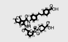 O=C(O)c1ccc(CCc2ccc(NC(=O)c3c(NC(=O)c4cccc(S(=O)(=O)N5CCC(C(=O)O)CC5)c4)sc4c3CCCC4)cc2)cc1